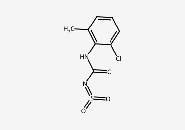 Cc1cccc(Cl)c1NC(=O)N=S(=O)=O